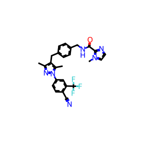 Cc1nn(-c2ccc(C#N)c(C(F)(F)F)c2)c(C)c1Cc1ccc(CNC(=O)c2nccn2C)cc1